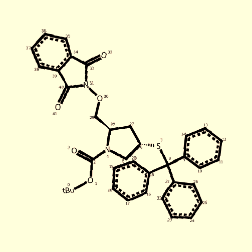 CC(C)(C)OC(=O)N1C[C@@H](SC(c2ccccc2)(c2ccccc2)c2ccccc2)C[C@@H]1CON1C(=O)c2ccccc2C1=O